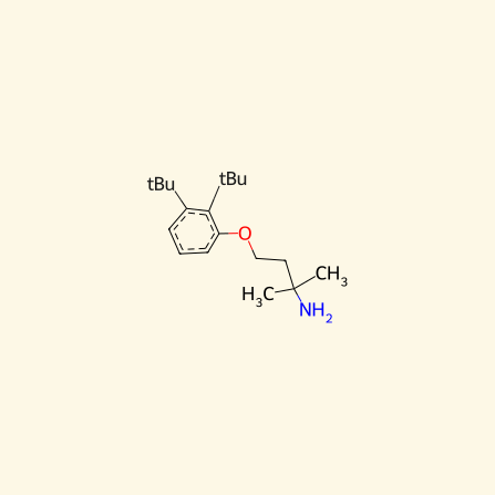 CC(C)(N)CCOc1cccc(C(C)(C)C)c1C(C)(C)C